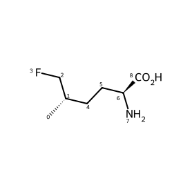 C[C@H](CF)CC[C@H](N)C(=O)O